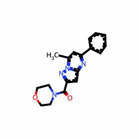 Cc1cc(-c2ccccc2)nc2cc(C(=O)N3CCOCC3)nn12